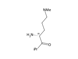 CNCCC[C@@H](N)C(=O)C(C)C